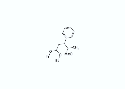 CCOC(CC(c1ccccc1)C(C)OC)OCC